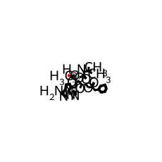 CC(=O)O[C@@H]1[C@H](OC(=O)[C@@H](N)C(C)C)[C@@H](COC(=O)Cc2ccccc2)O[C@@]1(C#N)c1ccc2c(N)ncnn12